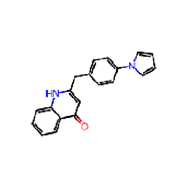 O=c1cc(Cc2ccc(-n3cccc3)cc2)[nH]c2ccccc12